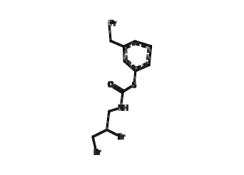 CC(C)Cc1cccc(SC(=O)NCC(Br)CBr)c1